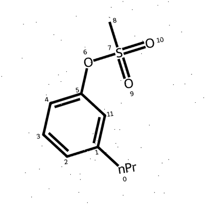 CCCc1cccc(OS(C)(=O)=O)c1